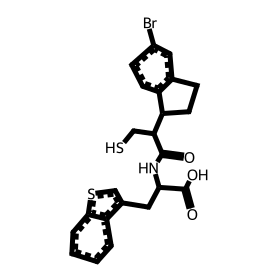 O=C(O)C(Cc1csc2ccccc12)NC(=O)C(CS)C1CCc2cc(Br)ccc21